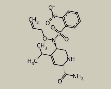 C=CCON([C@H]1CN[C@H](C(N)=O)C=C1C(C)C)S(=O)(=O)c1ccccc1[N+](=O)[O-]